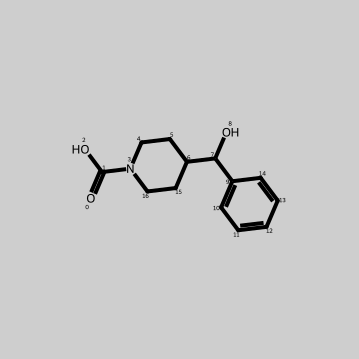 O=C(O)N1CCC(C(O)c2ccccc2)CC1